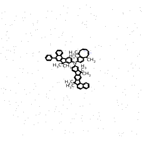 C=C1/C=C\C=C/CC(C)(C)c2cc(N(c3ccc4c(c3)C(C)(C)c3cc5c(cc3-4)C(C)(C)c3ccc4ccccc4c3-5)c3ccc4c(c3)C(C)(C)c3cc(-c5ccccc5)c5ccccc5c3-4)ccc21